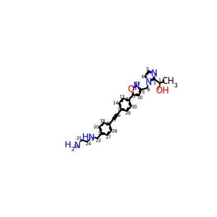 CC(O)c1nccn1Cc1cc(-c2ccc(C#Cc3ccc(CNCCN)cc3)cc2)on1